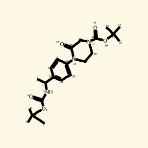 CC(NC(=O)OC(C)(C)C)c1ccc(N2CCN(C(=O)OC(C)(C)C)CC2=O)cc1